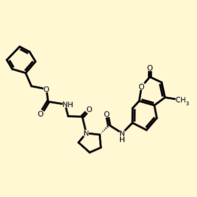 Cc1cc(=O)oc2cc(NC(=O)[C@@H]3CCCN3C(=O)CNC(=O)OCc3ccccc3)ccc12